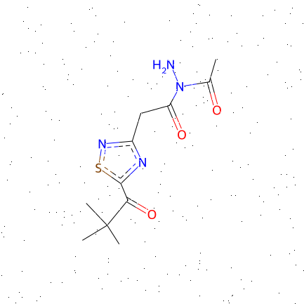 CC(=O)N(N)C(=O)Cc1nsc(C(=O)C(C)(C)C)n1